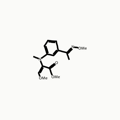 COC=C(C(=O)OC)N(C)c1cccc(C(C)=NOC)c1